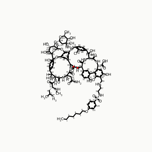 CCCCCCCOc1ccc(S(=O)(=O)NCCNCc2c(O)cc3c(c2O)-c2cc(ccc2O)[C@H]2NC(=O)[C@@H]4NC(=O)[C@H](CC(N)=O)NC(=O)[C@H](NC(=O)[C@@H](CC(C)C)NC)[C@H](O)c5ccc6c(c5)C(O)[C@H]5O[C@@H](Oc7c(cc4cc7O6)Oc4ccc(cc4Cl)[C@@H](O)[C@H](NC2=O)C(=O)N[C@@H]3C(=O)O)[C@H](O[C@H]2C[C@](C)(N)[C@H](O)[C@H](C)O2)[C@@H](O)[C@@H]5O)cc1